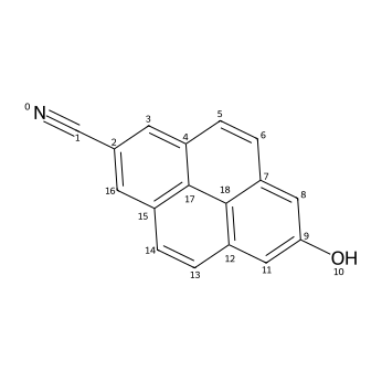 N#Cc1cc2ccc3cc(O)cc4ccc(c1)c2c34